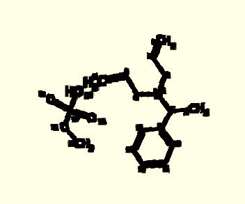 C=CCN(CC=C)C(C)c1ccccc1.COS(=O)(=O)O